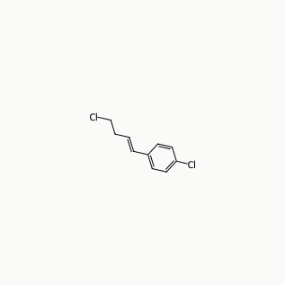 ClCCC=Cc1ccc(Cl)cc1